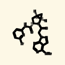 CNc1ncnc2c1cnn2CC(=O)N1[C@@H]2C[C@@H]2C[C@H]1C(=O)Nc1cccc(Br)n1